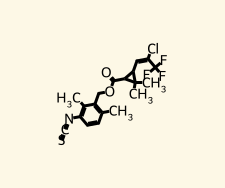 Cc1ccc(N=C=S)c(C)c1COC(=O)C1C(/C=C(/Cl)C(F)(F)F)C1(C)C